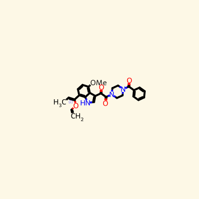 C=CO/C(=C\C)c1ccc(OC)c2c(C(=O)C(=O)N3CCN(C(=O)c4ccccc4)CC3)c[nH]c12